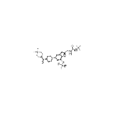 CC(C)(C)OC(=O)NCc1cc2cc(-c3ccc(C(=O)N4CCC(F)(F)CC4)cc3)cc(OC(F)(F)F)c2o1